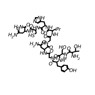 CC(C)C(NC(=O)CNC(=O)C(CC(N)=O)NC(=O)CNC(=O)C(Cc1ccc(O)cc1)NC(=O)C(CO)NC(=O)C(N)C(C)O)C(=O)NC(Cc1cnc[nH]1)C(=O)NC(CS)C(=O)NC(CC(N)=O)C(N)=O